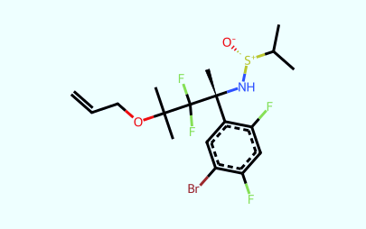 C=CCOC(C)(C)C(F)(F)[C@](C)(N[S@+]([O-])C(C)C)c1cc(Br)c(F)cc1F